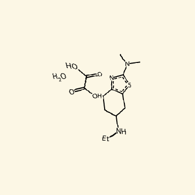 CCNC1CCc2nc(N(C)C)sc2C1.O.O=C(O)C(=O)O